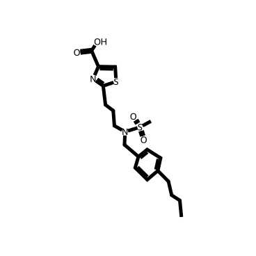 CCCCc1ccc(CN(CCCc2nc(C(=O)O)cs2)S(C)(=O)=O)cc1